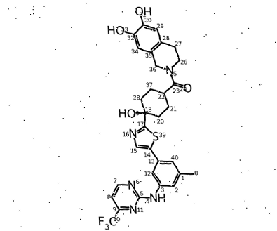 Cc1cc(Nc2nccc(C(F)(F)F)n2)cc(-c2cnc(C3(O)CCC(C(=O)N4CCc5cc(O)c(O)cc5C4)CC3)s2)c1